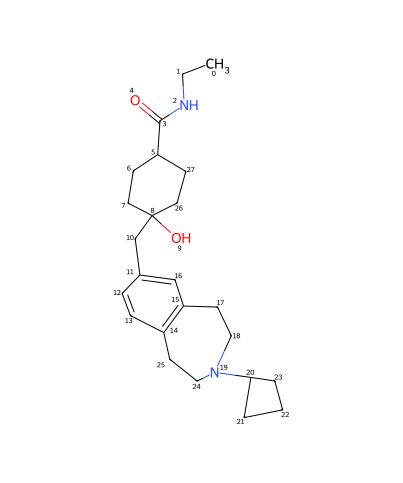 CCNC(=O)C1CCC(O)(Cc2ccc3c(c2)CCN(C2CCC2)CC3)CC1